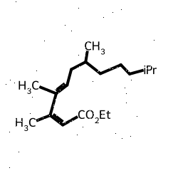 CCOC(=O)C=C(C)C(C)=CCC(C)CCCC(C)C